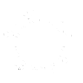 CCCC[C@H]1C(=O)N(C)[C@@H](CCCC)C(=O)N[C@@H](CCN)C(=O)N[C@H](C(=O)NCC(N)=O)CSCC(=O)N[C@@H](Cc2ccc(O)cc2)C(=O)N(C)[C@@H](C)C(=O)N[C@@H](CC(N)=O)C(=O)N2CCC[C@H]2C(=O)N[C@@H](Cc2cnc[nH]2)C(=O)N[C@@H](CCC(=O)O)C(=O)N2C[C@H](O)C[C@H]2C(=O)N[C@@H](Cc2c[nH]c3ccccc23)C(=O)N[C@@H](CCN)C(=O)N[C@@H](Cc2cn(CC(=O)O)c3ccccc23)C(=O)N1C